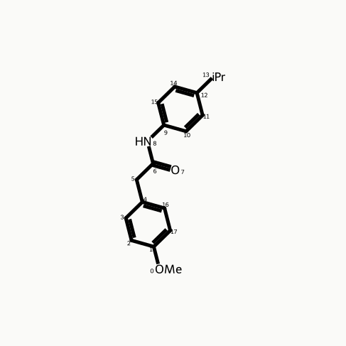 COc1ccc(CC(=O)Nc2ccc(C(C)C)cc2)cc1